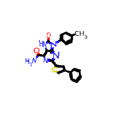 Cc1ccc(-n2c(=O)[nH]c3c(C(N)=O)nc(-c4cc(-c5ccccc5)cs4)nc32)cc1